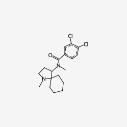 CN(C(=O)c1ccc(Cl)c(Cl)c1)C1CCN(C)C12CCCCC2